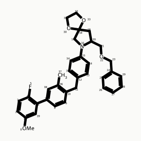 COc1ccc(F)c(-c2ccc(Cc3ccc(N4CC5(CC4COCc4ccccc4)OCCO5)cc3)c(C)c2)c1